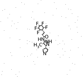 Cc1c(-c2ccncc2)n[nH]c1NC(=O)C=Cc1c(F)c(F)c(F)c(F)c1F